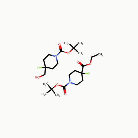 CC(C)(C)OC(=O)N1CCC(F)(CO)CC1.CCOC(=O)C1(F)CCN(C(=O)OC(C)(C)C)CC1